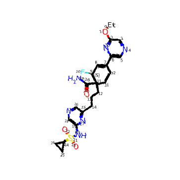 CCOc1cncc(C2=C[C@H](F)C(CCCc3cncc(NS(=O)(=O)C4CC4)n3)(C(N)=O)C=C2)n1